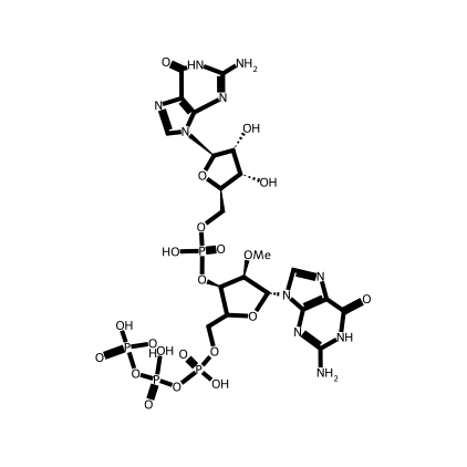 CO[C@@H]1[C@H](OP(=O)(O)OC[C@H]2O[C@@H](n3cnc4c(=O)[nH]c(N)nc43)[C@H](O)[C@@H]2O)C(COP(=O)(O)OP(=O)(O)OP(=O)(O)O)O[C@H]1n1cnc2c(=O)[nH]c(N)nc21